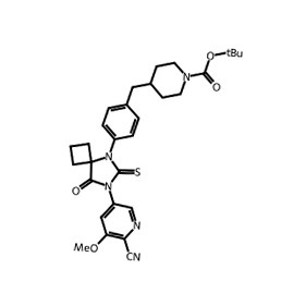 COc1cc(N2C(=O)C3(CCC3)N(c3ccc(CC4CCN(C(=O)OC(C)(C)C)CC4)cc3)C2=S)cnc1C#N